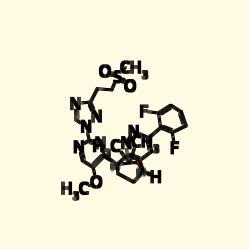 COc1cnc(-n2cnc(CCS(C)(=O)=O)n2)nc1[C@]12CC[C@H](CC1(C)C)c1cc(-c3c(F)cccc3F)nnc12